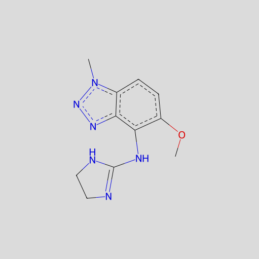 COc1ccc2c(nnn2C)c1NC1=NCCN1